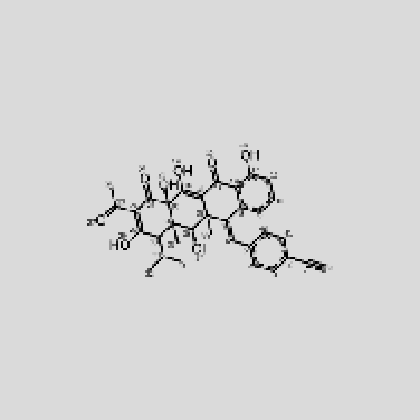 C#Cc1ccc(/C=C2\c3cccc(O)c3C(=O)C3=C(O)[C@@]4(O)C(=O)C(C(C)=O)=C(O)C(C(C)C)[C@@]4(C)[C@H](O)[C@]32C)cc1